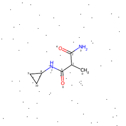 CC(C(N)=O)C(=O)NC1CC1